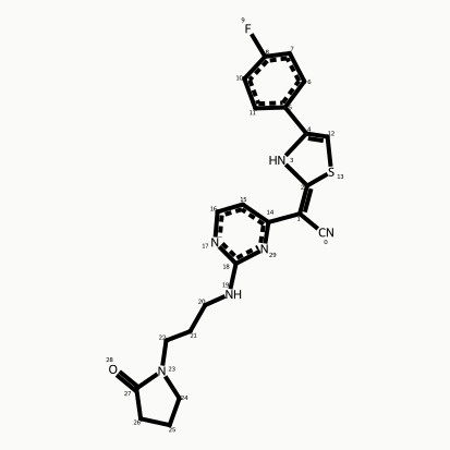 N#C/C(=C1/NC(c2ccc(F)cc2)=CS1)c1ccnc(NCCCN2CCCC2=O)n1